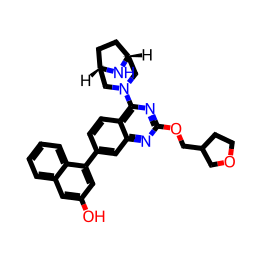 Oc1cc(-c2ccc3c(N4C[C@H]5CC[C@@H](C4)N5)nc(OCC4CCOC4)nc3c2)c2ccccc2c1